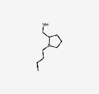 CCCCN1CCCC1C[NH]